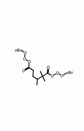 CCCCOOOC(=O)CCC(C)C(C)(C)C(=O)OOOCCCC